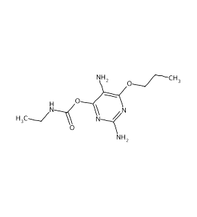 CCCOc1nc(N)nc(OC(=O)NCC)c1N